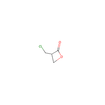 O=C1OCC1CCl